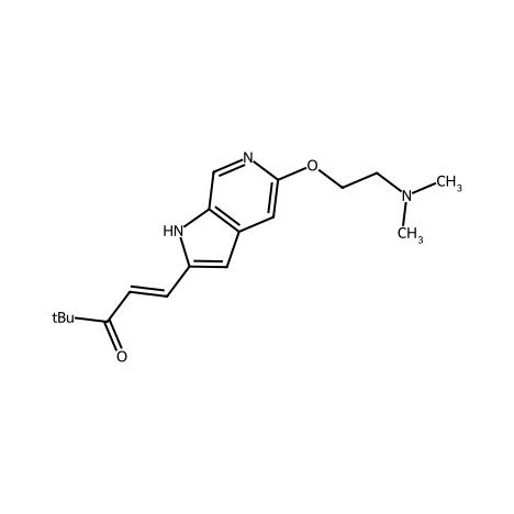 CN(C)CCOc1cc2cc(/C=C/C(=O)C(C)(C)C)[nH]c2cn1